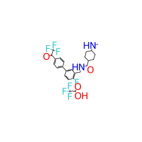 CNC1CCC(C(=O)NCc2cc(-c3ccc(C(=O)C(F)(F)F)cc3)ccc2F)CC1.O=C(O)C(F)(F)F